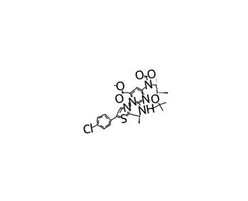 COC(=O)c1cc(N2C(=O)OC[C@@H]2[C@@H](C)OC(C)(C)C)nc(N[C@@H](C)c2ncc(-c3ccc(Cl)cc3)s2)n1